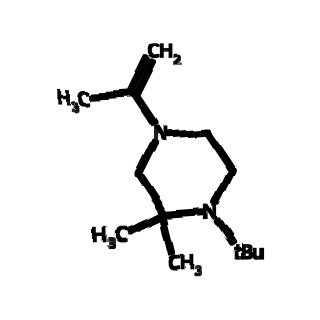 C=C(C)N1CCN(C(C)(C)C)C(C)(C)C1